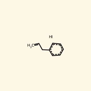 C=CCc1ccccc1.I